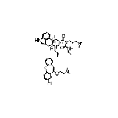 C=CCN1C[C@H](C(=O)N(CCCN(C)C)C(=O)NCC)C[C@@H]2c3cccc4[nH]cc(c34)C[C@H]21.CN(C)CCOC1=Cc2ccccc2Sc2ccc(Cl)cc21